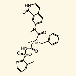 Cc1ccccc1S(=O)(=O)NC(=O)N[C@@H](Cc1ccccc1)C(=O)N(C)c1ccc2cc[nH]c(=O)c2c1